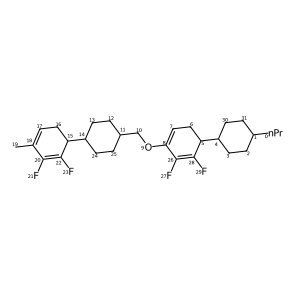 CCCC1CCC(C2CC=C(OCC3CCC(C4CC=C(C)C(F)=C4F)CC3)C(F)=C2F)CC1